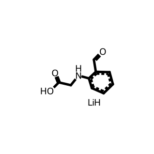 O=Cc1ccccc1NCC(=O)O.[LiH]